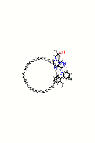 CCc1ccccc1-c1cc(F)ccc1Nc1cncnc1N1CCCCCCCCCCCCCCCCCCCCCCCCCCCCCC12CCCN(CC(C)(C)O)C2